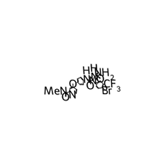 CNC(=O)c1cc(Oc2ccc(NC(=O)N(NC(N)=O)c3ccc(Br)c(C(F)(F)F)c3)cc2)ccn1